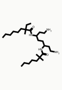 CCCCCCC(C)(CC)C(=O)NC(CCN)CCC(CCN)NC(=O)C(C)(C)CCCCC